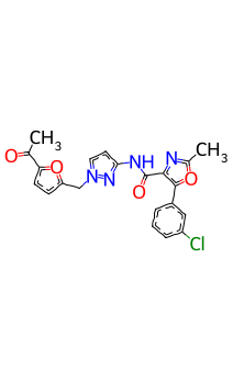 CC(=O)c1ccc(Cn2ccc(NC(=O)c3nc(C)oc3-c3cccc(Cl)c3)n2)o1